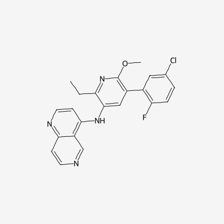 CCc1nc(OC)c(-c2cc(Cl)ccc2F)cc1Nc1ccnc2ccncc12